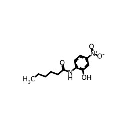 CCCCCC(=O)Nc1ccc([N+](=O)[O-])cc1O